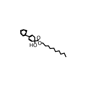 CCCCCCCCCCOC(=O)C1(O)C=CC(c2ccccc2)=CC1